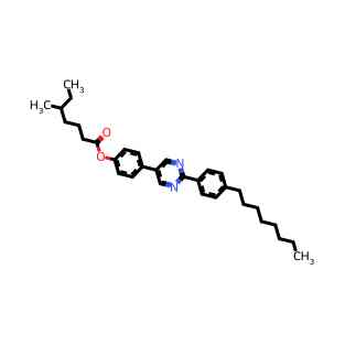 CCCCCCCCc1ccc(-c2ncc(-c3ccc(OC(=O)CCCC(C)CC)cc3)cn2)cc1